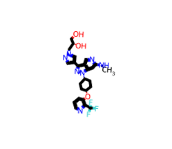 CNc1cc2c(cn1)c(-c1cnn(C[C@@H](O)CO)c1)nn2[C@H]1CC[C@@H](Oc2cccnc2C(F)(F)F)CC1